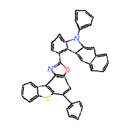 c1ccc(-c2cc3oc(-c4cccc5c4c4cc6ccccc6cc4n5-c4ccccc4)nc3c3c2sc2ccccc23)cc1